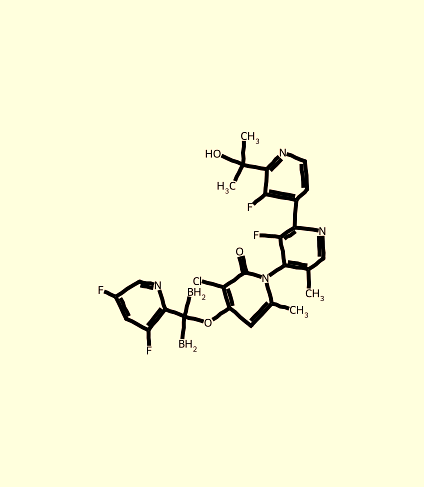 BC(B)(Oc1cc(C)n(-c2c(C)cnc(-c3ccnc(C(C)(C)O)c3F)c2F)c(=O)c1Cl)c1ncc(F)cc1F